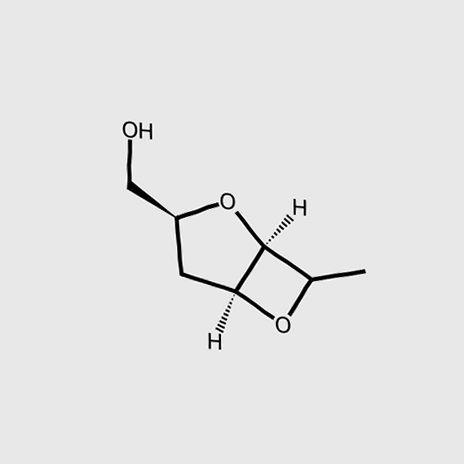 CC1O[C@H]2C[C@@H](CO)O[C@@H]12